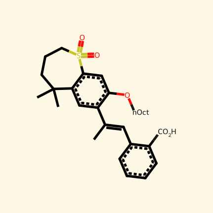 CCCCCCCCOc1cc2c(cc1C(C)=Cc1ccccc1C(=O)O)C(C)(C)CCCS2(=O)=O